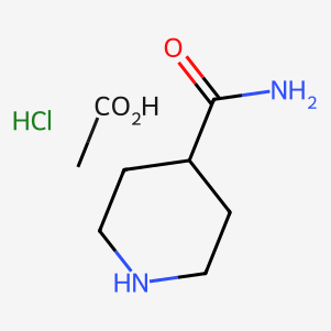 CC(=O)O.Cl.NC(=O)C1CCNCC1